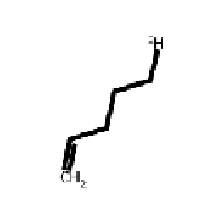 [2H]CCCC=C